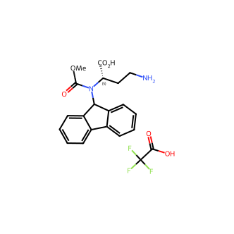 COC(=O)N(C1c2ccccc2-c2ccccc21)[C@@H](CCN)C(=O)O.O=C(O)C(F)(F)F